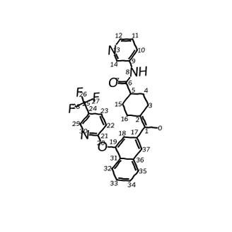 CC(=C1CCC(C(=O)Nc2cccnc2)CC1)c1cc(Oc2ccc(C(F)(F)F)cn2)c2ccccc2c1